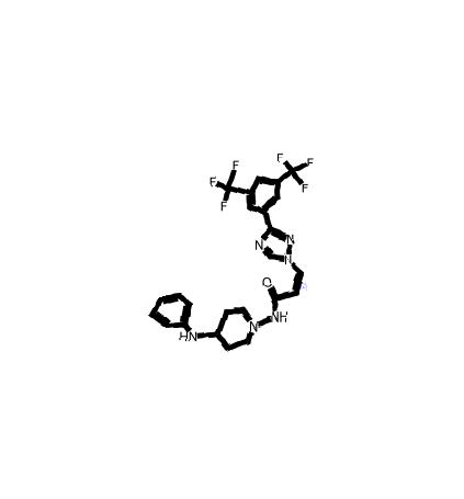 O=C(/C=C\n1cnc(-c2cc(C(F)(F)F)cc(C(F)(F)F)c2)n1)NN1CCC(Nc2ccccc2)CC1